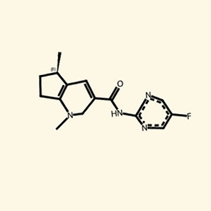 C[C@@H]1CCC2=C1C=C(C(=O)Nc1ncc(F)cn1)CN2C